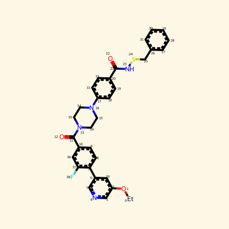 CCOc1cncc(-c2ccc(C(=O)N3CCN(c4ccc(C(=O)NSCc5ccccc5)cc4)CC3)cc2F)c1